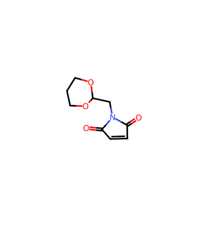 O=C1C=CC(=O)N1CC1OCCCO1